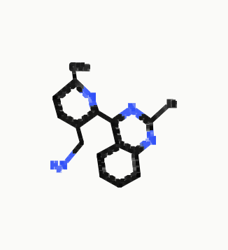 CCc1nc(-c2nc(OC)ccc2CN)c2ccccc2n1